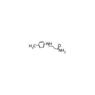 Cc1ccc(NCCCC(N)=O)cc1